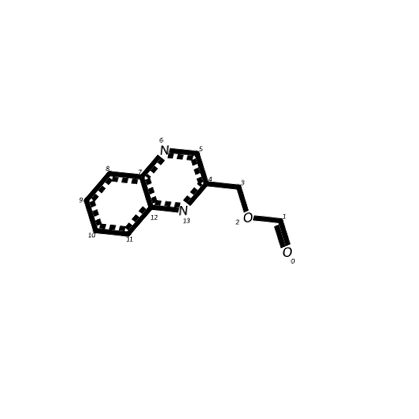 O=COCc1cnc2ccccc2n1